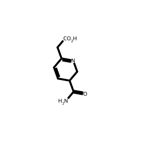 NC(=O)C1C=CC(CC(=O)O)=NC1